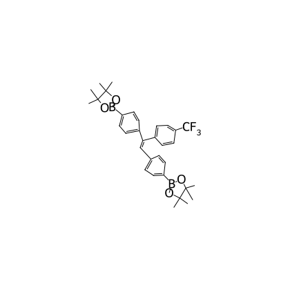 CC1(C)OB(c2ccc(C=C(c3ccc(B4OC(C)(C)C(C)(C)O4)cc3)c3ccc(C(F)(F)F)cc3)cc2)OC1(C)C